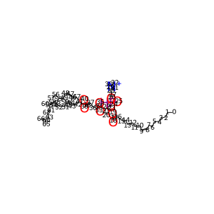 CCCCCCCC/C=C\CCCCCCCC(=O)OC[C@H](CO[PH](=O)OCC[N+](C)(C)C)OC(=O)CCC(=O)OC1CC[C@]2(C)C(=CCC3C2CC[C@]2(C)C3CC[C@H]2[C@@H](C)CCCC(C)C)C1